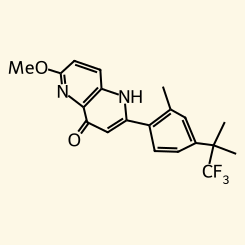 COc1ccc2[nH]c(-c3ccc(C(C)(C)C(F)(F)F)cc3C)cc(=O)c2n1